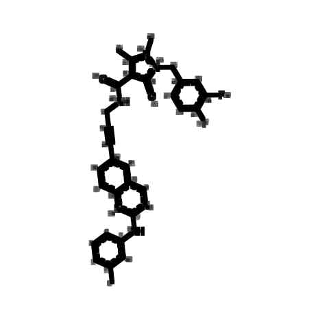 Cc1cccc(Nc2ncc3cc(C#CCNC(=O)c4c(C)n(C)n(Cc5ccc(F)c(F)c5)c4=O)ccc3n2)c1